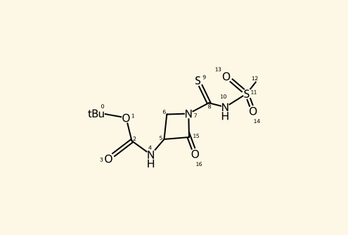 CC(C)(C)OC(=O)NC1CN(C(=S)NS(C)(=O)=O)C1=O